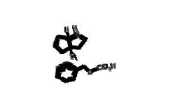 C1C[C@H]2CCN[C@H]2C1.O=C(O)OCc1ccccc1